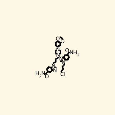 NC(=O)c1ccc2c(c1)ncn2CCCCCl.NC(=O)c1ccc2c(c1)ncn2CCCCN1CCN(c2ccc3c(c2)OCCO3)CC1